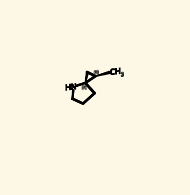 C[C@@H]1C[C@]12CCCN2